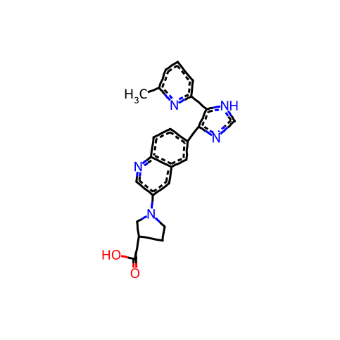 Cc1cccc(-c2[nH]cnc2-c2ccc3ncc(N4CCC(C(=O)O)C4)cc3c2)n1